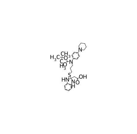 CC(C)(C)OC(=O)N(CCCSC1(CC(=O)O)Nc2ccccc2N1)c1ccc(N2CCCCC2)cc1